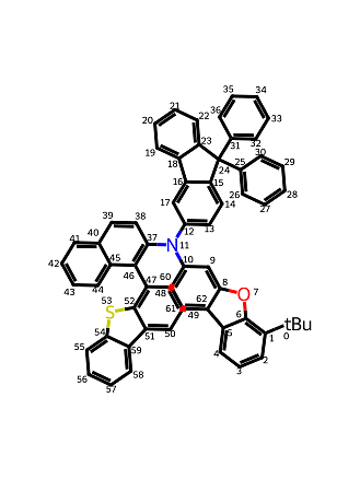 CC(C)(C)c1cccc2c1oc1cc(N(c3ccc4c(c3)-c3ccccc3C4(c3ccccc3)c3ccccc3)c3ccc4ccccc4c3-c3cccc4c3sc3ccccc34)ccc12